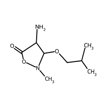 CC(C)COC1C(N)C(=O)ON1C